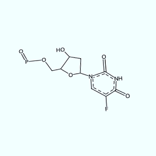 O=POCC1OC(n2cc(F)c(=O)[nH]c2=O)CC1O